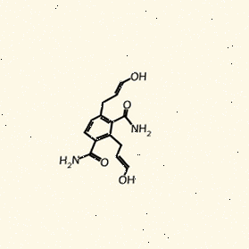 NC(=O)c1ccc(CC=CO)c(C(N)=O)c1CC=CO